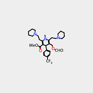 COC(=O)C1=C(CCN2CCCCC2)N(C)C(CCN2CCCCC2)=C(COC=O)C1c1ccc(C(F)(F)F)cc1